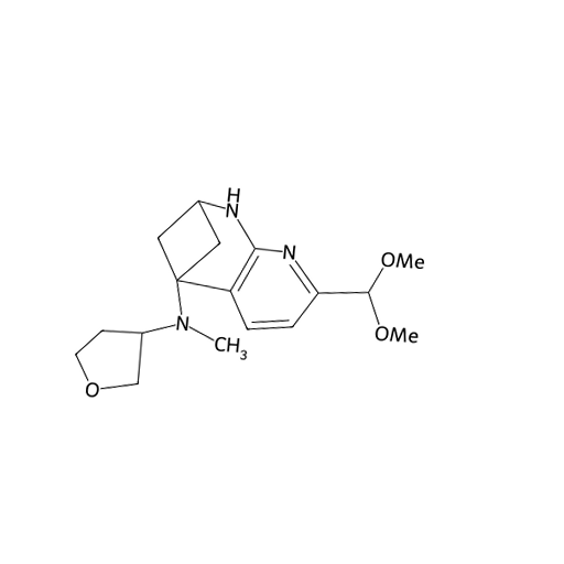 COC(OC)c1ccc2c(n1)NC1CC2(N(C)C2CCOC2)C1